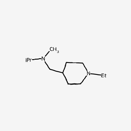 CCN1CCC(CN(C)C(C)C)CC1